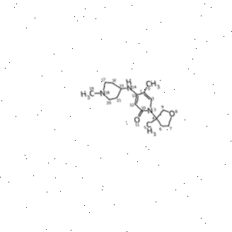 Cc1cn(C2(C)CCOC2)c(=O)cc1NC1CCN(C)CC1